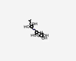 CC(C)=CCc1c(O)cc(/C=C/c2cc(O)c3c(c2)C[C@@H]2C(C)(C)[C@H](O)[C@H](O)C[C@@]2(C)O3)cc1O